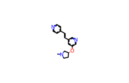 CN1CC[C@@H](Oc2cncc(/C=C/c3ccncc3)c2)C1